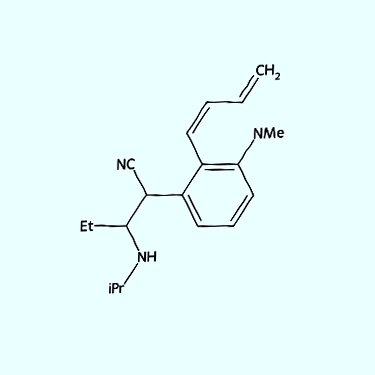 C=C/C=C\c1c(NC)cccc1C(C#N)C(CC)NC(C)C